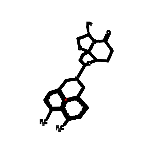 CC(C)[C@@H]1COC23CCC(N(Cc4ccc(C(F)(F)F)cc4)Cc4ccc(C(F)(F)F)cc4)CC2CCC(=O)N13